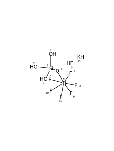 F.O[Si](O)(O)[O][Ti]([F])([F])([F])([F])([F])[F].[KH]